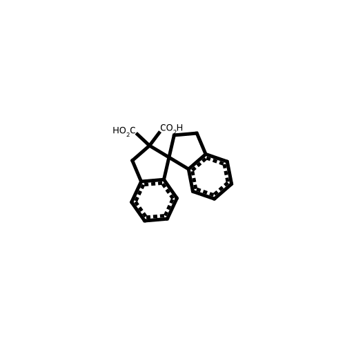 O=C(O)C1(C(=O)O)Cc2ccccc2C12CCc1ccccc12